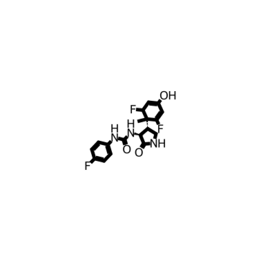 CC1([C@@H]2CNC(=O)[C@H]2NC(=O)Nc2ccc(F)cc2)C(F)=CC(O)=CC1F